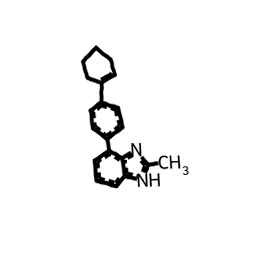 Cc1nc2c(-c3ccc(C4=CCCCC4)cc3)cccc2[nH]1